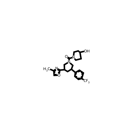 Cc1coc(C2CC(c3ccc(C(F)(F)F)cc3)CN(C(=O)N3CCC(O)CC3)C2)n1